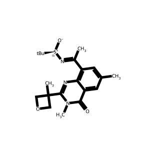 CC(=N[S@+]([O-])C(C)(C)C)c1cc(C)cc2c(=O)n(C)c(C3(C)COC3)nc12